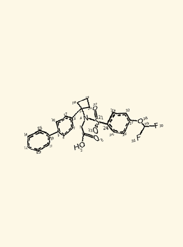 O=C(O)CN(C1(c2ccc(-c3ccccc3)cc2)CCC1)S(=O)(=O)c1ccc(OC(F)F)cc1